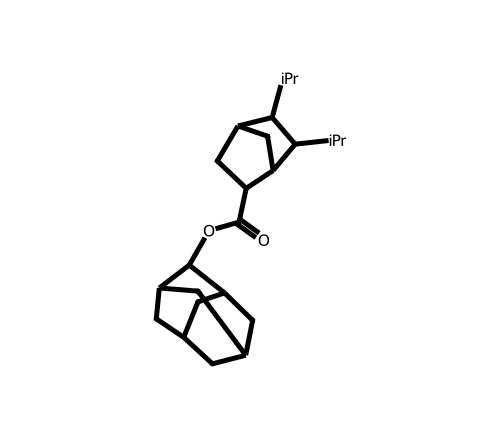 CC(C)C1C2CC(C(=O)OC3C4CC5CC(C4)CC3C5)C(C2)C1C(C)C